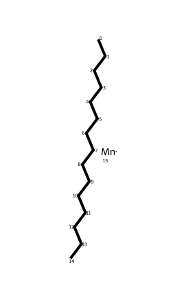 CCCCCCCCCCCCCCC.[Mn]